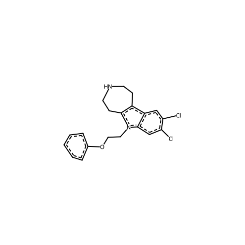 Clc1cc2c3c(n(CCOc4ccccc4)c2cc1Cl)CCNCC3